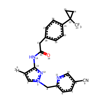 [2H]c1cn(Cc2ccc(C#N)cn2)nc1NC(=O)Cc1ccc(C2(C(F)(F)F)CC2)cc1